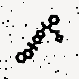 O=C([C@H](CNC1COC1)c1ccccc1)N1CC2=C(C1)CN(S(=O)(=O)c1ccc3c(c1)OCCO3)C2